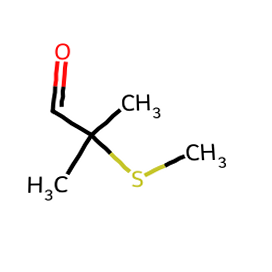 CSC(C)(C)C=O